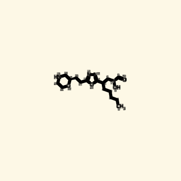 CCCCCC(CN(O)C=O)c1nnc(CC[C@@H]2CNCCO2)o1